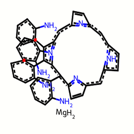 Nc1ccccc1-c1c(-c2ccccc2N)c2c(-c3ccccc3N)c3nc(cc4ccc(cc5nc(cc1n2-c1ccccc1N)C=C5)[nH]4)C=C3.[MgH2]